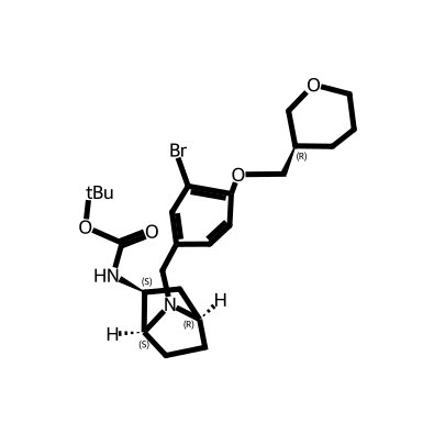 CC(C)(C)OC(=O)N[C@H]1C[C@H]2CC[C@@H]1N2Cc1ccc(OC[C@@H]2CCCOC2)c(Br)c1